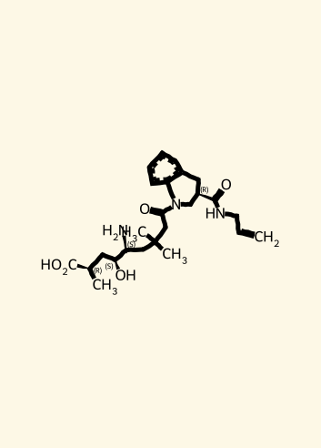 C=CCNC(=O)[C@@H]1Cc2ccccc2N(C(=O)CC(C)(C)C[C@H](N)[C@@H](O)C[C@@H](C)C(=O)O)C1